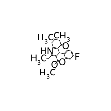 CCOC(=O)C1=C(CC)NC2=C(C(=O)CC(C)(C)C2)C1c1ccc(F)cc1